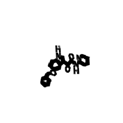 O=C(Nc1ccccn1)C(=O)c1c[nH]c2ccc(OCc3ccccc3)cc12